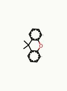 CC1(C)c2ccc[c]c2Oc2[c]cccc21